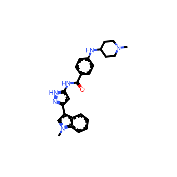 CN1CCC(Nc2ccc(C(=O)Nc3cc(-c4cn(C)c5ccccc45)n[nH]3)cc2)CC1